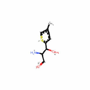 Cc1csc(C(O)C(N)CO)c1